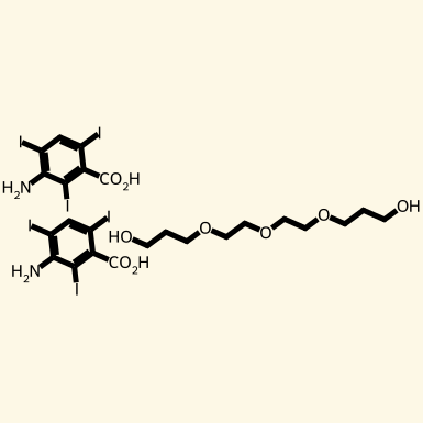 Nc1c(I)cc(I)c(C(=O)O)c1I.Nc1c(I)cc(I)c(C(=O)O)c1I.OCCCOCCOCCOCCCO